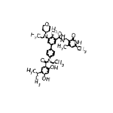 CCN(C(=O)c1cc(C(C)C)c(O)cc1O)c1ccc(-c2cc(C(=O)NCc3c(C)cc(C)[nH]c3=O)c(C)c(N(CC)C3CCOCC3)c2)cc1